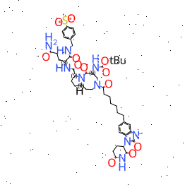 Cn1c(=O)n(C2CCC(=O)NC2=O)c2ccc(CCCCCCC(=O)N3CC[C@H]4CC[C@@H](C(=O)N[C@@H](CCC(N)=O)C(=O)NCc5ccc(S(C)(=O)=O)cc5)N4C(=O)[C@@H](NC(=O)OC(C)(C)C)C3)cc21